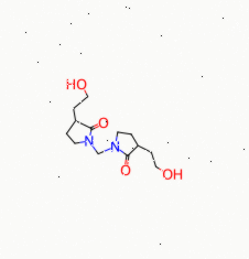 O=C1C(CCO)CCN1CN1CCC(CCO)C1=O